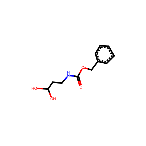 O=C(NCCC(O)O)OCc1ccccc1